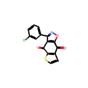 O=C1c2ccsc2C(=O)c2c(-c3cccc(Cl)c3)noc21